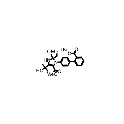 COCC1(C)NC(C(C)(C)O)=C(C(=O)OC)N1c1ccc(-c2ccccc2C(=O)OC(C)(C)C)cc1